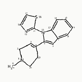 CN1CC=C(c2cc3ccccc3n2-c2nccs2)CC1